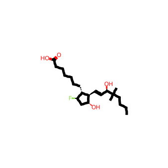 CCCCC(C)(C)[C@H](O)/C=C/[C@@H]1[C@@H](CCCCCCC(=O)O)[C@H](F)C[C@H]1O